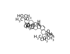 CC1(C)OC(C)(C)C2(C)C(=O)c3ccc4[nH]c5c(c4c3CC12)CC1CCC2[C@@]3(C)C(CC[C@]2(C)[C@@]51C)O[C@H](C(C)(C)O)C[C@H]3O